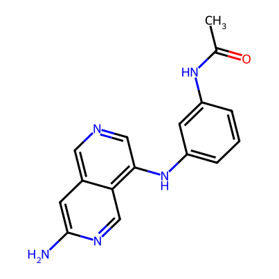 CC(=O)Nc1cccc(Nc2cncc3cc(N)ncc23)c1